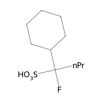 CCCC(F)(C1CCCCC1)S(=O)(=O)O